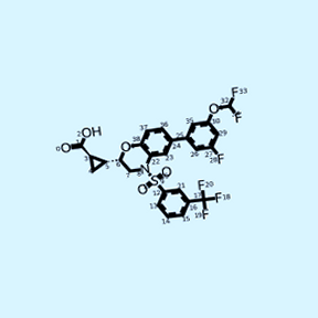 O=C(O)[C@@H]1C[C@H]1C1CN(S(=O)(=O)c2cccc(C(F)(F)F)c2)c2cc(-c3cc(F)cc(OC(F)F)c3)ccc2O1